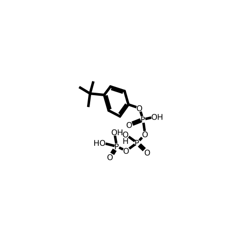 CC(C)(C)c1ccc(OP(=O)(O)OP(=O)(O)OP(=O)(O)O)cc1